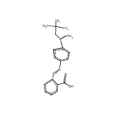 CN(CC(C)(C)C)c1ccc(/N=N/c2ccccc2C(=O)O)cc1